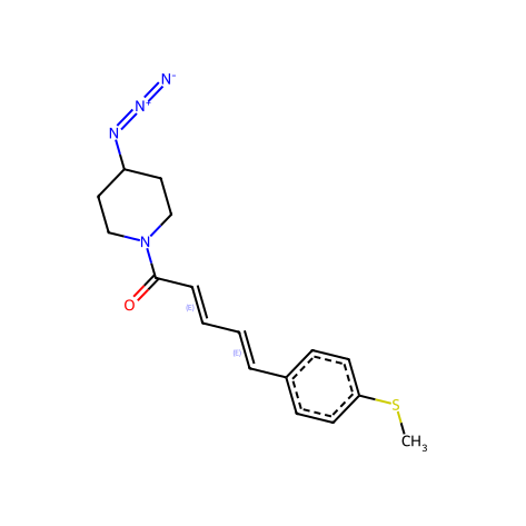 CSc1ccc(/C=C/C=C/C(=O)N2CCC(N=[N+]=[N-])CC2)cc1